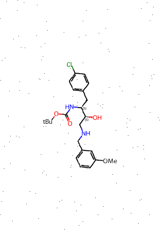 COc1cccc(CNC[C@H](O)[C@H](Cc2ccc(Cl)cc2)NC(=O)OC(C)(C)C)c1